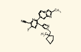 Cc1cn2ccc(-c3nc(C#N)c(F)cc3-c3cnn(CC4(C)CCCC4)c3)cc2n1